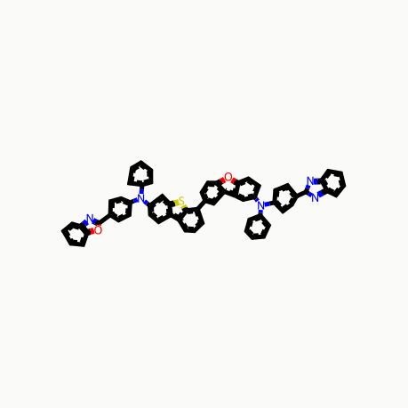 c1ccc(N(c2ccc(-c3nc4ccccc4o3)cc2)c2ccc3c(c2)sc2c(-c4ccc5oc6ccc(N(c7ccccc7)c7ccc(C8N=c9ccccc9=N8)cc7)cc6c5c4)cccc23)cc1